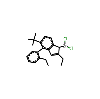 CCC1=Cc2c(ccc(C(C)(C)C)c2-c2ccccc2CC)[CH]1[Zr]([Cl])[Cl]